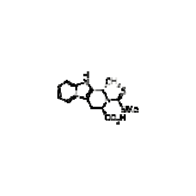 CSC(=S)N1[C@@H](C(=O)O)Cc2c([nH]c3ccccc23)[C@@H]1C